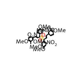 COc1cc(C(C=Cc2ccc(OC)c(C)c2OC)S(=O)(=O)C(C=Cc2ccc(OC)c(C)c2OC)c2cc(OC)c(OC)cc2[N+](=O)[O-])c([N+](=O)[O-])cc1OC